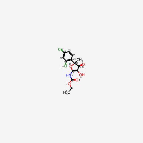 CCOC(=O)NC1=C(O)C(=O)C(C)(c2ccc(Cl)cc2Cl)O1